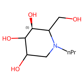 CCCN1CC(O)C(O)[C@@H](O)C1CO